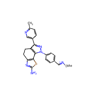 CO/N=C/c1ccc(-n2nc(-c3ccc(C)nc3)c3c2-c2sc(N)nc2CC3)cc1